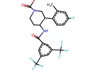 Cc1cc(F)ccc1C1CN(C(=O)O)CCC1NC(=O)c1cc(C(F)(F)F)cc(C(F)(F)F)c1